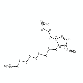 CCCCCCCCCCCCCCCCCCCC1N(CCCCCC)C=CN1CCCCCCCCCCCCC